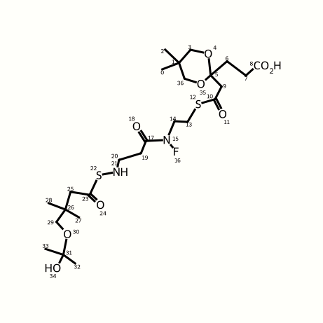 CC1(C)COC(CCC(=O)O)(CC(=O)SCCN(F)C(=O)CCNSC(=O)CC(C)(C)COC(C)(C)O)OC1